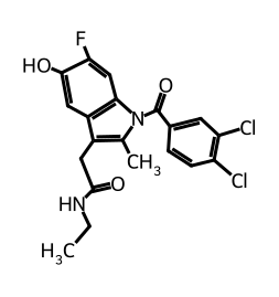 CCNC(=O)Cc1c(C)n(C(=O)c2ccc(Cl)c(Cl)c2)c2cc(F)c(O)cc12